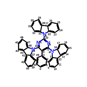 c1ccc(-c2c(-n3c4ccccc4c4ccccc43)nc(-n3c4ccccc4c4ccccc43)nc2-n2c3ccccc3c3ccccc32)cc1